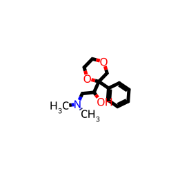 CN(C)CC(O)C1(c2ccccc2)COCCO1